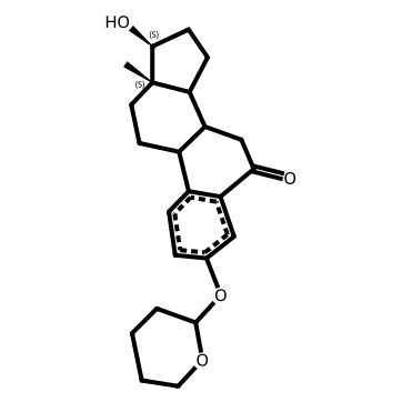 C[C@]12CCC3c4ccc(OC5CCCCO5)cc4C(=O)CC3C1CC[C@@H]2O